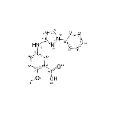 COc1ccc(Nc2ncn(-c3ccccc3)n2)cc1C(=O)O